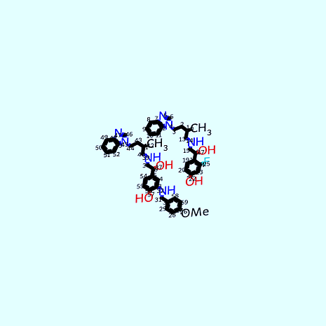 CC(CCn1cnc2ccccc21)CNCC(O)c1ccc(O)cc1F.COc1ccc(CNc2cc(C(O)CNCC(C)CCn3cnc4ccccc43)ccc2O)cc1